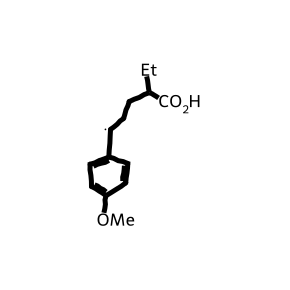 CCC(CC[CH]c1ccc(OC)cc1)C(=O)O